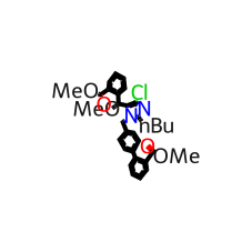 CCCCc1nc(Cl)c(C(OC)c2ccccc2C(=O)OC)n1Cc1ccc(-c2ccccc2C(=O)OC)cc1